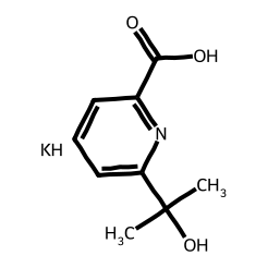 CC(C)(O)c1cccc(C(=O)O)n1.[KH]